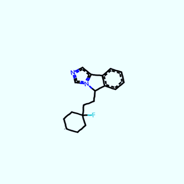 FC1(CCC2c3ccccc3-c3cncn32)CC[CH]CC1